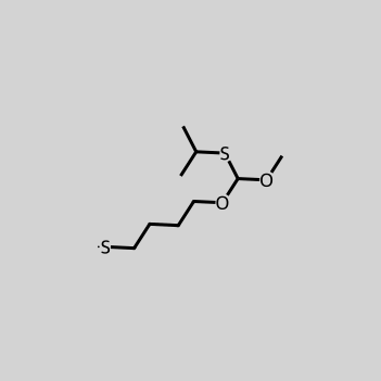 COC(OCCCC[S])SC(C)C